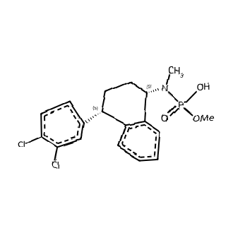 COP(=O)(O)N(C)[C@H]1CC[C@@H](c2ccc(Cl)c(Cl)c2)c2ccccc21